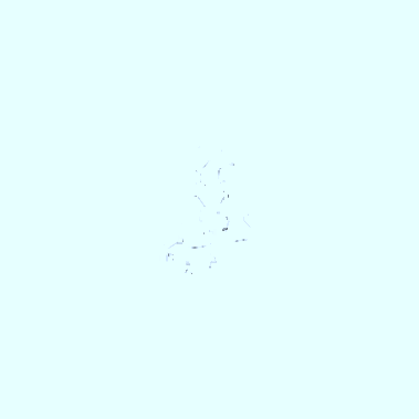 Cc1nn2cc(C(C)Nc3ncnc4[nH]cnc34)c(-c3ccccc3)nc2c1Cl